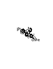 COC(=O)c1cc(Oc2ccc(-c3ccc(C(C)C)nn3)cc2)c(Cc2cccnc2OC)cc1F